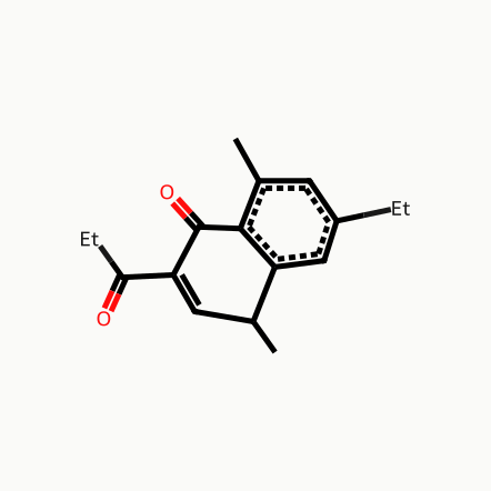 CCC(=O)C1=CC(C)c2cc(CC)cc(C)c2C1=O